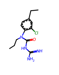 CCCN(C(=O)NC(=N)N)c1ccc(CC)cc1Cl